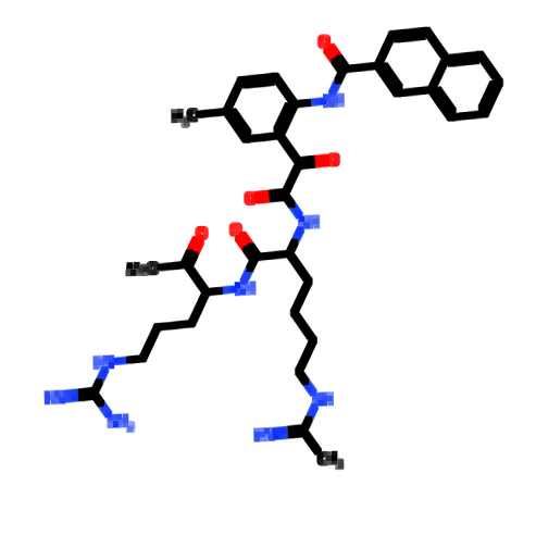 COC(=O)C(CCCNC(=N)N)NC(=O)C(CCCCNC(C)=N)NC(=O)C(=O)c1cc(C)ccc1NC(=O)c1ccc2ccccc2c1